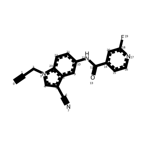 C#CCn1cc(C#N)c2cc(NC(=O)c3ccnc(F)c3)ccc21